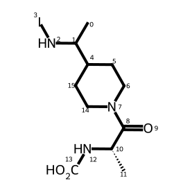 CC(NI)C1CCN(C(=O)[C@H](C)NC(=O)O)CC1